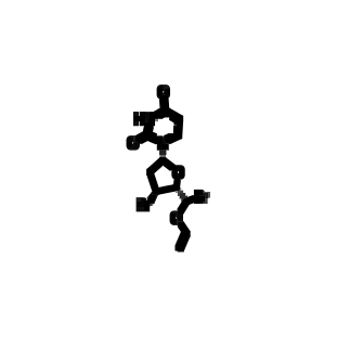 C=COC(Br)[C@H]1O[C@@H](n2ccc(=O)[nH]c2=O)C[C@@H]1Br